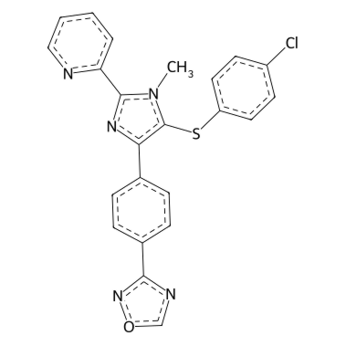 Cn1c(-c2ccccn2)nc(-c2ccc(-c3ncon3)cc2)c1Sc1ccc(Cl)cc1